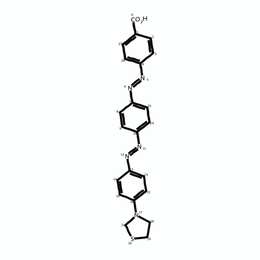 O=C(O)c1ccc(N=Nc2ccc(N=Nc3ccc(N4CCSC4)cc3)cc2)cc1